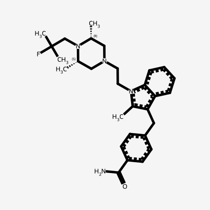 Cc1c(Cc2ccc(C(N)=O)cc2)c2ccccc2n1CCN1C[C@@H](C)N(CC(C)(C)F)[C@@H](C)C1